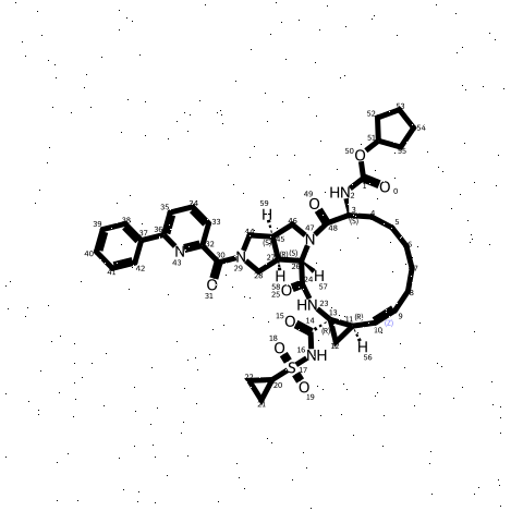 O=C(N[C@H]1CCCCC/C=C\[C@H]2C[C@@]2(C(=O)NS(=O)(=O)C2CC2)NC(=O)[C@@H]2[C@H]3CN(C(=O)c4cccc(-c5ccccc5)n4)C[C@H]3CN2C1=O)OC1CCCC1